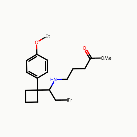 CCOc1ccc(C2(C(CC(C)C)NCCCC(=O)OC)CCC2)cc1